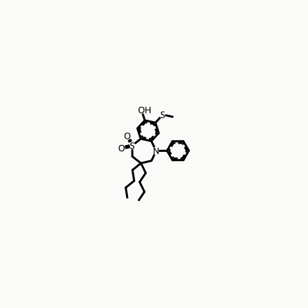 CCCCC1(CCCC)CN(c2ccccc2)c2cc(SC)c(O)cc2S(=O)(=O)C1